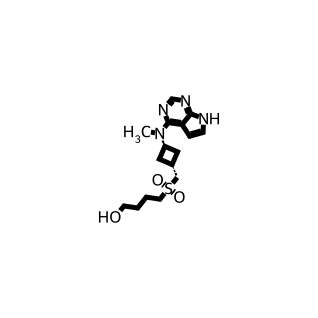 CN(c1ncnc2[nH]ccc12)[C@H]1C[C@@H](CS(=O)(=O)CCCCO)C1